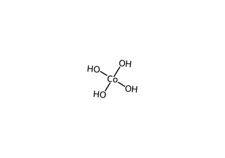 [OH][Co]([OH])([OH])[OH]